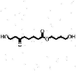 O=C(CCO)CCCCC(=O)OCCCCO